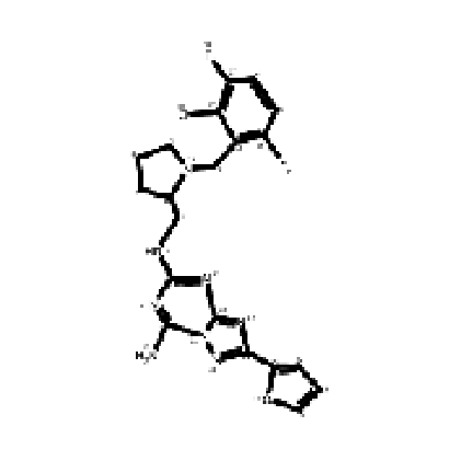 Nc1nc(NCC2CCCN2Cc2c(F)ccc(F)c2Cl)nc2nc(-c3ccco3)nn12